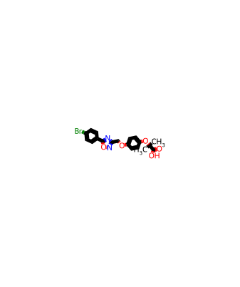 CC(C)(Oc1ccc(OCc2noc(-c3ccc(Br)cc3)n2)cc1)C(=O)O